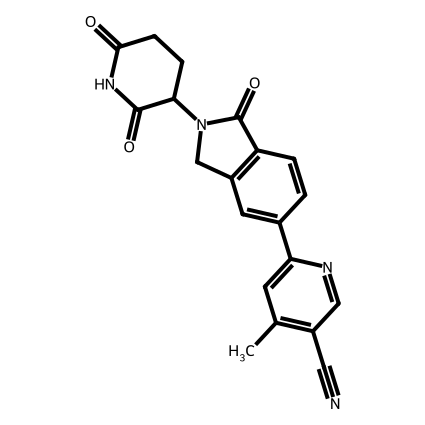 Cc1cc(-c2ccc3c(c2)CN(C2CCC(=O)NC2=O)C3=O)ncc1C#N